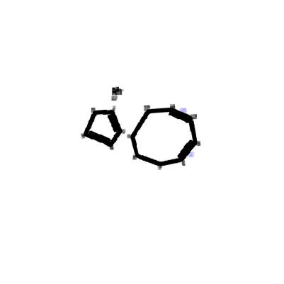 C1=CCC=C1.C1=C\CCCC\C=C/1.[Rh]